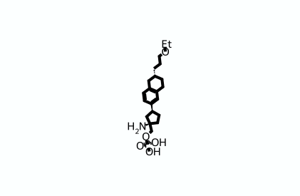 CCOCCC[C@@H]1CCc2cc([C@H]3CC[C@](N)(COP(=O)(O)O)C3)ccc2C1